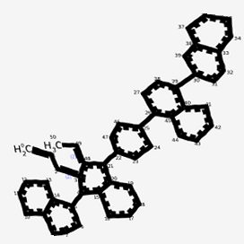 C=C/C=c1/c(-c2cccc3ccccc23)c2ccccc2c(-c2ccc(-c3ccc(-c4ccc5ccccc5c4)c4ccccc34)cc2)/c1=C/C